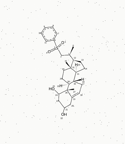 C[C@H](CS(=O)(=O)c1ccccc1)[C@H]1CC[C@H]2[C@@H]3CC=C4CC(O)CC(O)[C@]4(C)[C@H]3CC[C@]12C